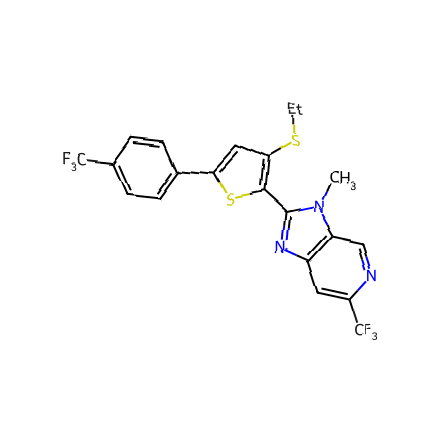 CCSc1cc(-c2ccc(C(F)(F)F)cc2)sc1-c1nc2cc(C(F)(F)F)ncc2n1C